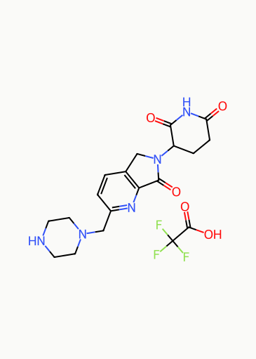 O=C(O)C(F)(F)F.O=C1CCC(N2Cc3ccc(CN4CCNCC4)nc3C2=O)C(=O)N1